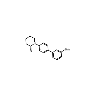 CSc1cccc(-c2ccc(N3CCCCC3=O)cc2)c1